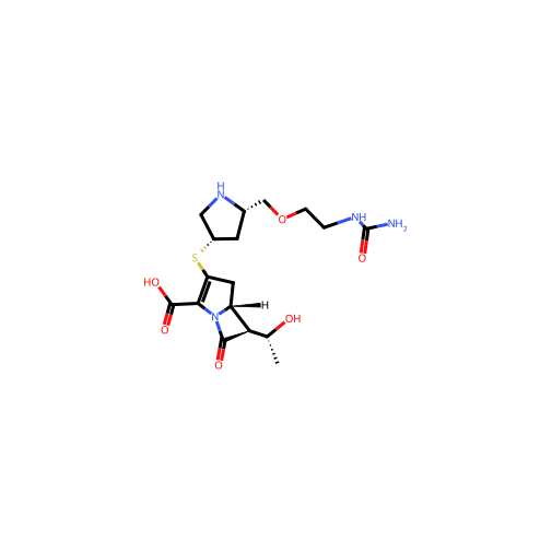 C[C@@H](O)[C@H]1C(=O)N2C(C(=O)O)=C(S[C@@H]3CN[C@H](COCCNC(N)=O)C3)C[C@H]12